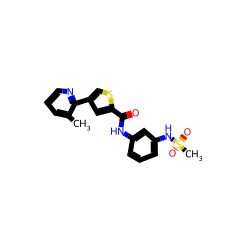 Cc1cccnc1-c1csc(C(=O)Nc2cccc(NS(C)(=O)=O)c2)c1